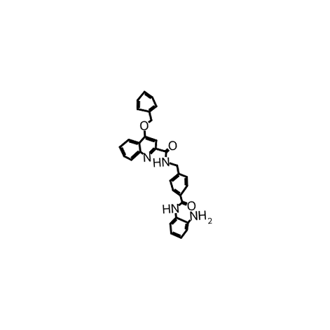 Nc1ccccc1NC(=O)c1ccc(CNC(=O)c2cc(OCc3ccccc3)c3ccccc3n2)cc1